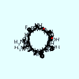 CCCC[C@H]1C(=O)N(C)[C@@H](CCCC)C(=O)N[C@@H](CCCNC(=N)N)C(=O)N[C@H](C(=O)NCC(N)=O)CSCC(=O)N[C@@H](Cc2cc(F)cc(F)c2)C(=O)N(C)[C@@H](C)C(=O)NC(CC(N)=O)C(=O)N2CCC[C@H]2C(=O)N[C@@H](Cc2cnc[nH]2)C(=O)N[C@@H](CC(C)C)C(=O)N2C[C@H](O)CC2CN[C@@H](CCc2c[nH]c3ccccc23)C(=O)N[C@@H](CO)C(=O)N[C@@H](Cc2c[nH]c3ccccc23)C(=O)N1C